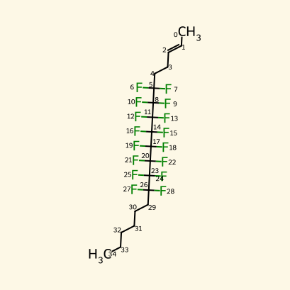 C/C=C/CCC(F)(F)C(F)(F)C(F)(F)C(F)(F)C(F)(F)C(F)(F)C(F)(F)C(F)(F)CCCCCC